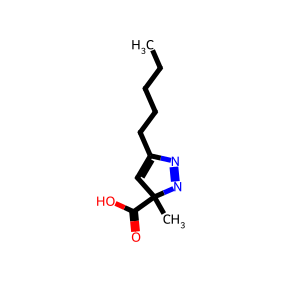 CCCCCC1=CC(C)(C(=O)O)N=N1